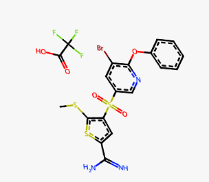 CSc1sc(C(=N)N)cc1S(=O)(=O)c1cnc(Oc2ccccc2)c(Br)c1.O=C(O)C(F)(F)F